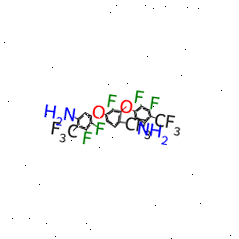 Nc1cc(Oc2ccc(C(F)(F)F)c(Oc3cc(N)c(C(F)(F)F)c(F)c3F)c2F)c(F)c(F)c1C(F)(F)F